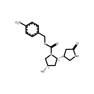 O=C1CC([C@@H]2C[C@H](S)CN2C(=O)OCc2ccc([N+](=O)[O-])cc2)CN1